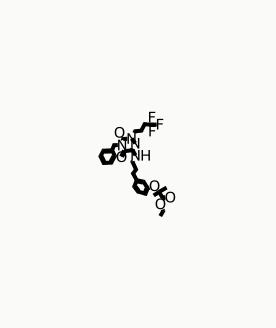 CCOC(=O)C(C)(C)Oc1cccc(CCCNc2nn(CCCC(F)(F)F)c(=O)n(Cc3ccccc3)c2=O)c1